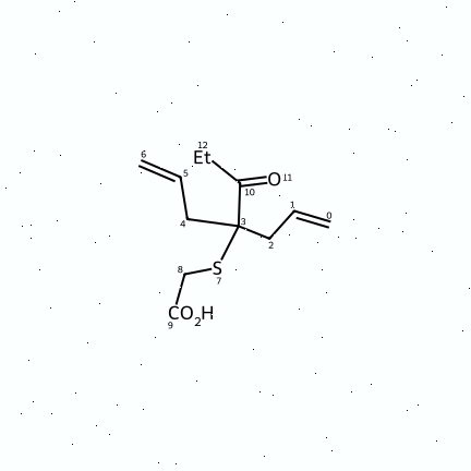 C=CCC(CC=C)(SCC(=O)O)C(=O)CC